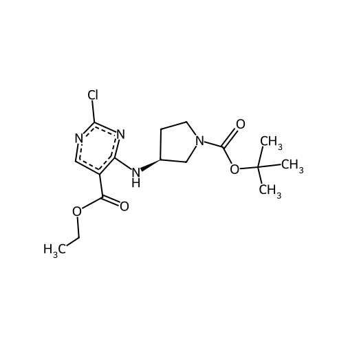 CCOC(=O)c1cnc(Cl)nc1N[C@H]1CCN(C(=O)OC(C)(C)C)C1